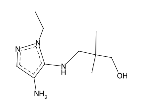 CCn1ncc(N)c1NCC(C)(C)CO